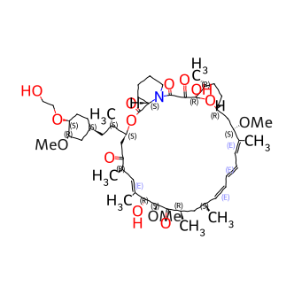 CO[C@H]1C[C@H]2CC[C@@H](C)[C@@](O)(O2)C(=O)C(=O)N2CCCC[C@H]2C(=O)O[C@H]([C@@H](C)C[C@@H]2CC[C@H](OCCO)[C@H](OC)C2)CC(=O)[C@H](C)/C=C(\C)[C@@H](O)[C@H](OC)C(=O)[C@H](C)C[C@H](C)/C=C/C=C/C=C/1C